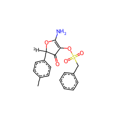 [2H]C1(c2ccc(C)cc2)OC(N)=C(OS(=O)(=O)Cc2ccccc2)C1=O